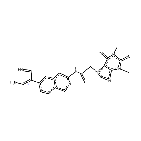 Cn1c(=O)c2c(ncn2CC(=O)Nc2cc3cc(/C(C=N)=C/N)ccc3cn2)n(C)c1=O